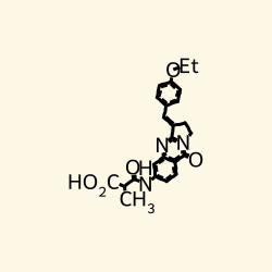 CCOc1ccc(C=C2CCn3c2nc2cc(NC(=O)C(C)C(=O)O)ccc2c3=O)cc1